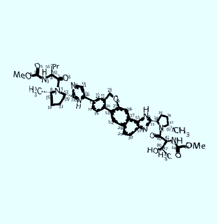 COC(=O)N[C@H](C(=O)N1[C@@H](C)CC[C@H]1c1ncc(-c2ccc3c(c2)COc2cc4c(ccc5nc([C@@H]6CC[C@H](C)N6C(=O)[C@@H](NC(=O)OC)[C@@H](C)O)[nH]c54)cc2-3)[nH]1)C(C)C